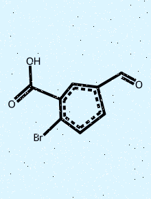 O=Cc1ccc(Br)c(C(=O)O)c1